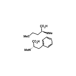 CN[C@@H](CCSC)C(=O)O.CN[C@@H](Cc1ccccc1)C(=O)O